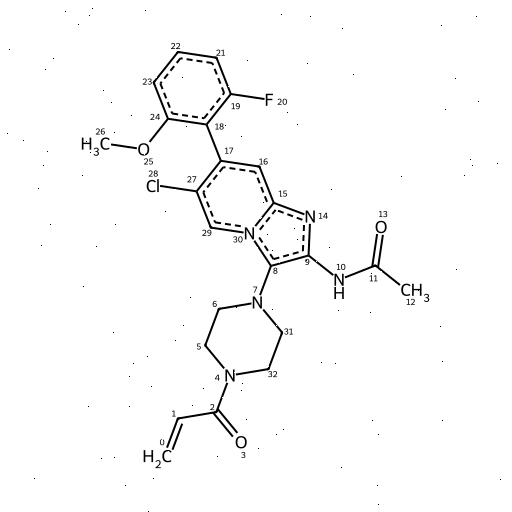 C=CC(=O)N1CCN(c2c(NC(C)=O)nc3cc(-c4c(F)cccc4OC)c(Cl)cn23)CC1